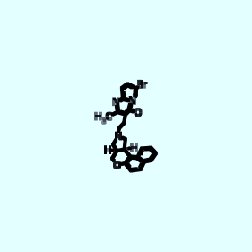 Cc1nc2ccc(Br)cn2c(=O)c1CCN1C[C@H]2COc3ccc4ccccc4c3[C@H]2C1